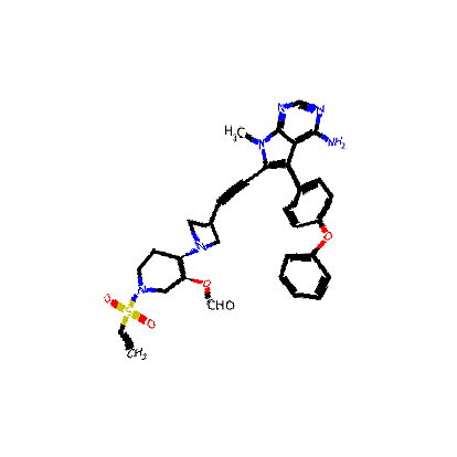 C=CS(=O)(=O)N1CC[C@@H](N2CC(C#Cc3c(-c4ccc(Oc5ccccc5)cc4)c4c(N)ncnc4n3C)C2)[C@@H](OC=O)C1